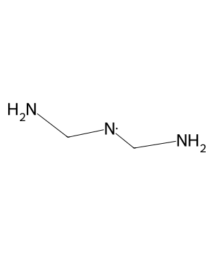 NC[N]CN